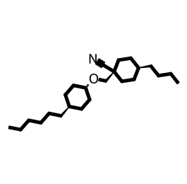 CCCCCC[C@H]1CC[C@H](OC[C@]2(C#N)CC[C@H](CCCC)CC2)CC1